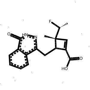 C[C@@H](F)[C@]1(C)C=C(C(=O)O)C1Cc1n[nH]c(=O)c2ccccc12